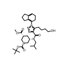 COC(=O)[C@@H]1C[C@H](N(CC(C)C)C(=O)c2nnn(C3=C4CCCC4=CCC3)c2CCCCO)CN(C(=O)OC(C)(C)C)C1